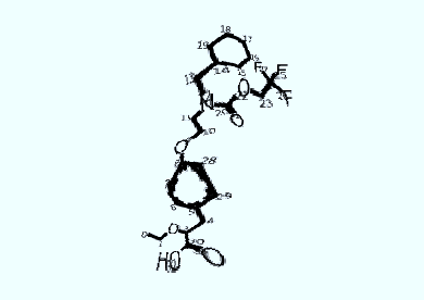 CCOC(Cc1ccc(OCCN(CC2CCCCC2)C(=O)OCC(F)(F)F)cc1)C(=O)O